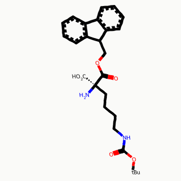 CC(C)(C)OC(=O)NCCCC[C@](N)(C(=O)O)C(=O)OCC1c2ccccc2-c2ccccc21